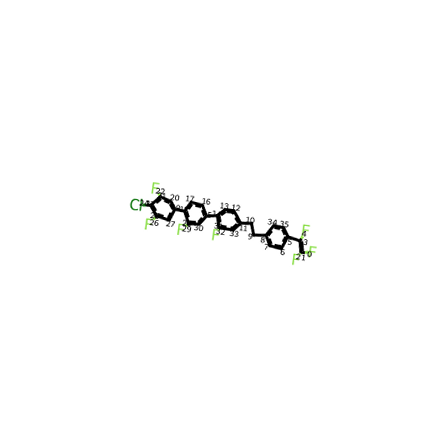 FC(F)=C(F)c1ccc(CCc2ccc(-c3ccc(-c4cc(F)c(Cl)c(F)c4)c(F)c3)c(F)c2)cc1